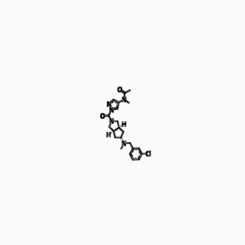 CC(=O)N(C)c1cnn(C(=O)N2C[C@H]3C[C@H](N(C)Cc4cccc(Cl)c4)C[C@H]3C2)c1